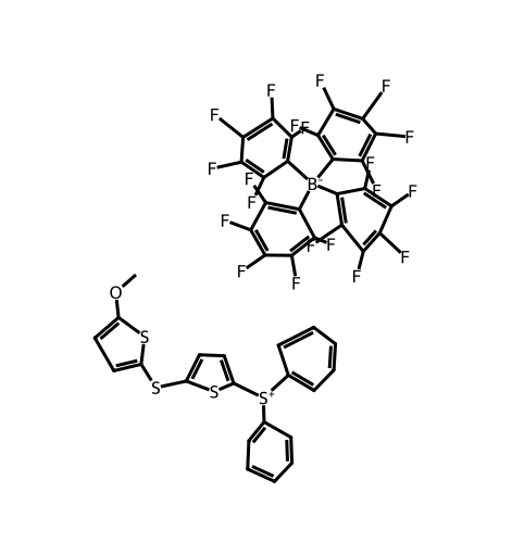 COc1ccc(Sc2ccc([S+](c3ccccc3)c3ccccc3)s2)s1.Fc1c(F)c(F)c([B-](c2c(F)c(F)c(F)c(F)c2F)(c2c(F)c(F)c(F)c(F)c2F)c2c(F)c(F)c(F)c(F)c2F)c(F)c1F